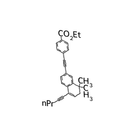 CCCC#CC1=CCC(C)(C)c2cc(C#Cc3ccc(C(=O)OCC)cc3)ccc21